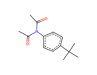 CC(=O)N(C(C)=O)c1ccc(C(C)(C)C)cc1